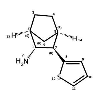 N[C@@H]1[C@H]2CC[C@H](C2)[C@H]1c1cccs1